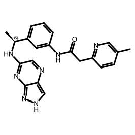 Cc1ccc(CC(=O)Nc2cccc([C@H](C)Nc3cnc4c[nH]nc4n3)c2)nc1